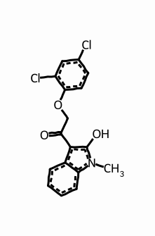 Cn1c(O)c(C(=O)COc2ccc(Cl)cc2Cl)c2ccccc21